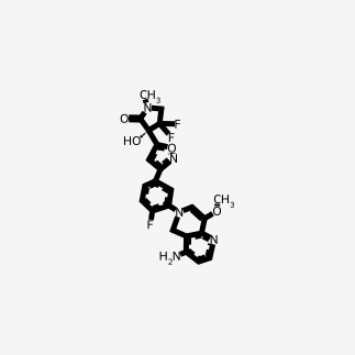 COC1=CN(c2cc(-c3cc([C@@]4(O)C(=O)N(C)CC4(F)F)on3)ccc2F)Cc2c(N)ccnc21